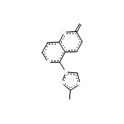 O=c1ccc2c(-n3cnc(C(F)(F)F)n3)nccc2[nH]1